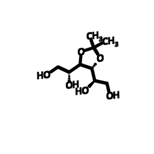 CC1(C)OC([C@H](O)CO)[C@@H]([C@H](O)CO)O1